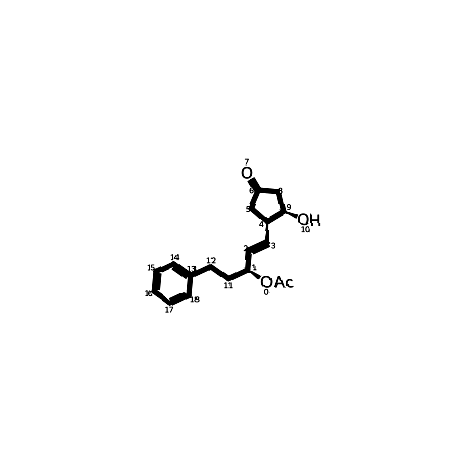 CC(=O)O[C@H](C=C[C@H]1CC(=O)C[C@H]1O)CCc1ccccc1